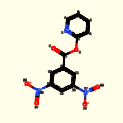 O=C(Oc1ccccn1)c1cc([N+](=O)[O-])cc([N+](=O)[O-])c1